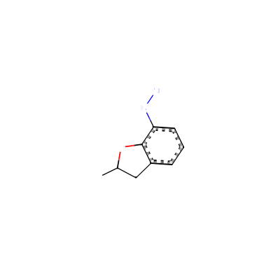 CC1Cc2cccc(NN)c2O1